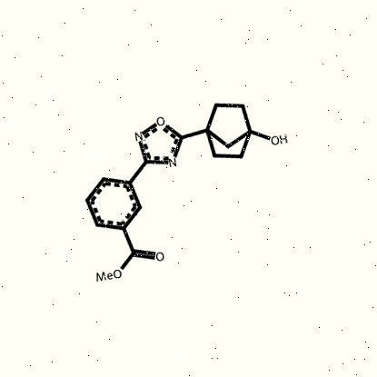 COC(=O)c1cccc(-c2noc(C34CCC(O)(CC3)C4)n2)c1